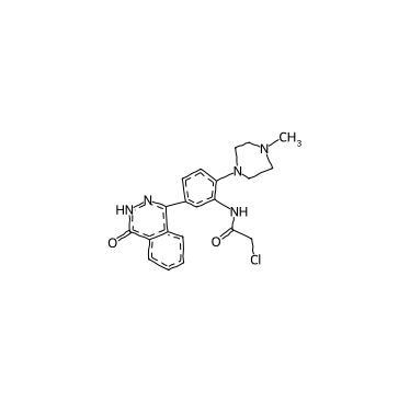 CN1CCN(c2ccc(-c3n[nH]c(=O)c4ccccc34)cc2NC(=O)CCl)CC1